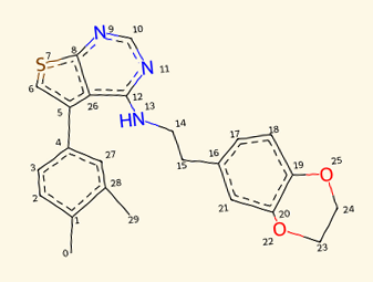 Cc1ccc(-c2csc3ncnc(NCCc4ccc5c(c4)OCCO5)c23)cc1C